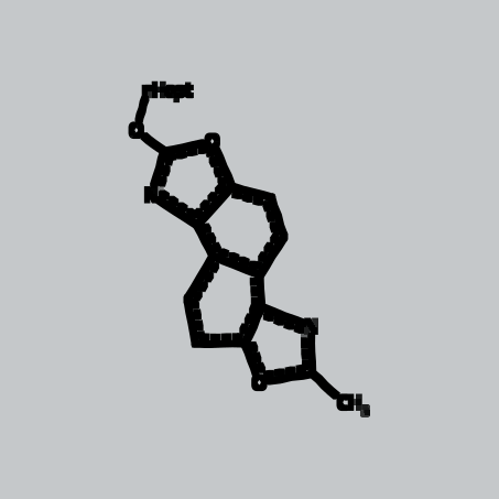 CCCCCCCOc1nc2c(ccc3c2ccc2oc(C)nc23)o1